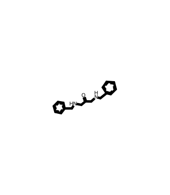 O=C(CNCc1ccccc1)CNCc1ccccc1